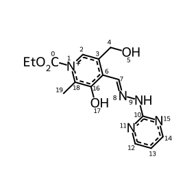 CCOC(=O)[n+]1cc(CO)c(C=NNc2ncccn2)c(O)c1C